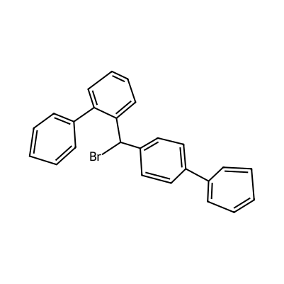 BrC(c1ccc(-c2ccccc2)cc1)c1ccccc1-c1ccccc1